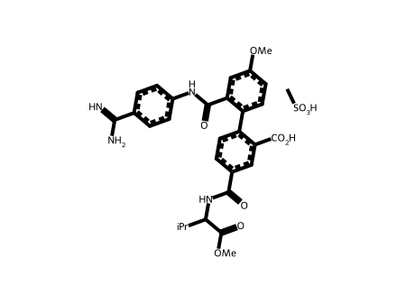 COC(=O)C(NC(=O)c1ccc(-c2ccc(OC)cc2C(=O)Nc2ccc(C(=N)N)cc2)c(C(=O)O)c1)C(C)C.CS(=O)(=O)O